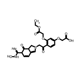 CCOC(=O)COc1cc(OCC(=O)O)ccc1C(=O)CN1C=C2C=CC(C(=N)NO)C(=O)C2C1